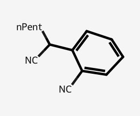 CCCCCC(C#N)c1ccccc1C#N